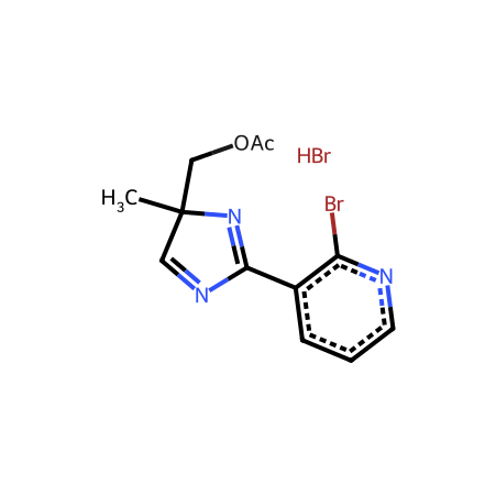 Br.CC(=O)OCC1(C)C=NC(c2cccnc2Br)=N1